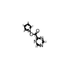 O=C(On1cccc1)c1ncncn1